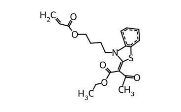 C=CC(=O)OCCCCN1/C(=C(/C(C)=O)C(=O)OCC)Sc2ccccc21